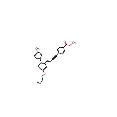 CCCOc1ccc(-c2ccc(C)cc2)c(/C=C/C#Cc2ccc(C(=O)OC)cc2)c1